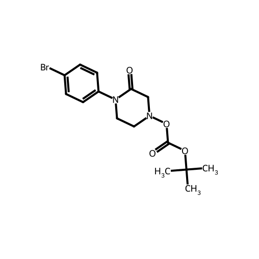 CC(C)(C)OC(=O)ON1CCN(c2ccc(Br)cc2)C(=O)C1